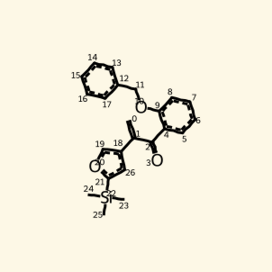 C=C(C(=O)c1ccccc1OCc1ccccc1)c1coc([Si](C)(C)C)c1